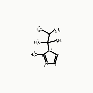 Cc1nccn1C(C)(C)C(C)C